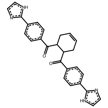 O=C(c1ccc(-c2ncc[nH]2)cc1)C1CC=CCC1C(=O)c1ccc(-c2ncc[nH]2)cc1